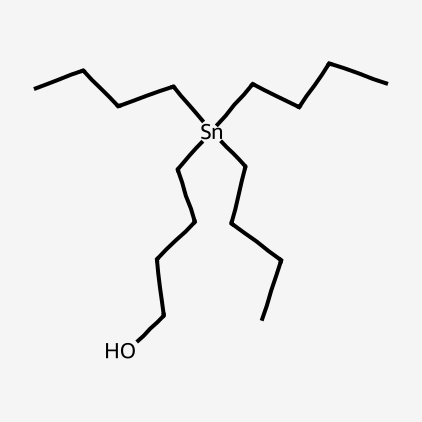 CCC[CH2][Sn]([CH2]CCC)([CH2]CCC)[CH2]CCCO